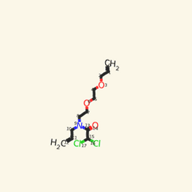 C=CCOCCOCCN(CC=C)C(=O)C(Cl)Cl